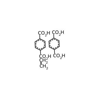 C=C.O=C(O)c1ccc(C(=O)O)cc1.O=C(O)c1ccc(C(=O)O)cc1